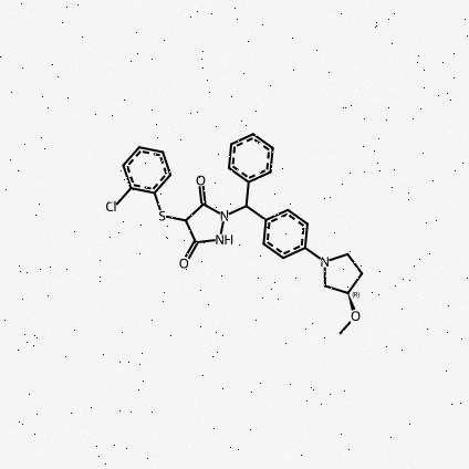 CO[C@@H]1CCN(c2ccc(C(c3ccccc3)N3NC(=O)C(Sc4ccccc4Cl)C3=O)cc2)C1